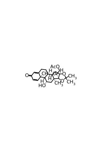 CC(=O)OCC(=O)[C@@]12OC(C)(C)O[C@@H]1C[C@H]1[C@@H]3CCC4=CC(=O)C=C[C@]4(C)[C@H]3[C@@H](O)C[C@@]12C